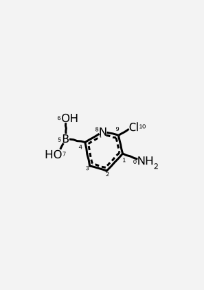 Nc1ccc(B(O)O)nc1Cl